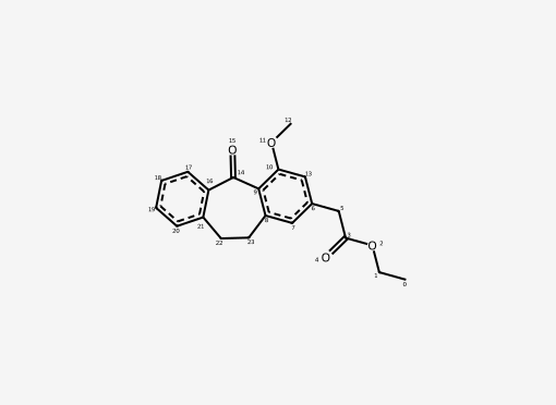 CCOC(=O)Cc1cc2c(c(OC)c1)C(=O)c1ccccc1CC2